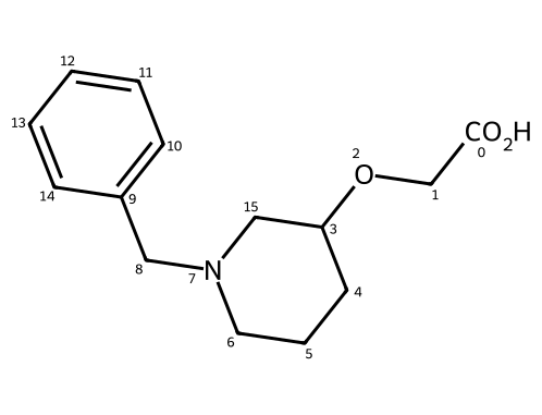 O=C(O)COC1CCCN(Cc2ccccc2)C1